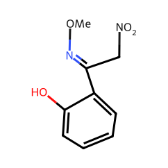 CON=C(C[N+](=O)[O-])c1ccccc1O